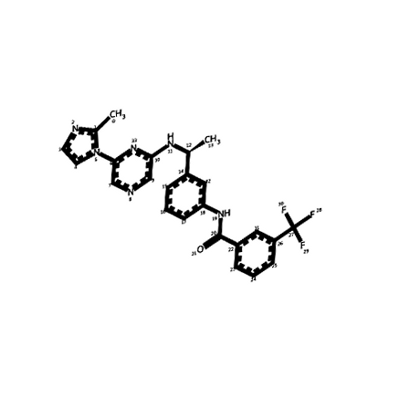 Cc1nccn1-c1cncc(N[C@@H](C)c2cccc(NC(=O)c3cccc(C(F)(F)F)c3)c2)n1